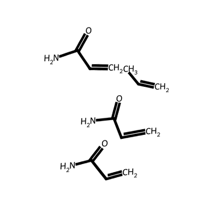 C=CC.C=CC(N)=O.C=CC(N)=O.C=CC(N)=O